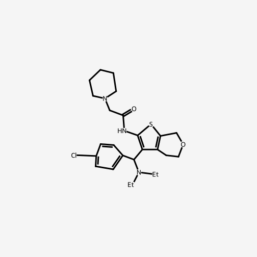 CCN(CC)C(c1ccc(Cl)cc1)c1c(NC(=O)CN2CCCCC2)sc2c1CCOC2